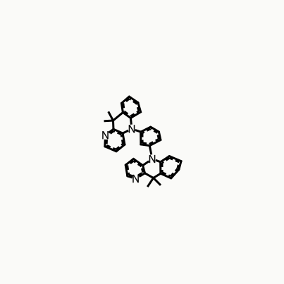 CC1(C)c2ccccc2N(c2cccc(N3c4ccccc4C(C)(C)c4ncccc43)c2)c2cccnc21